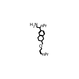 CCC/C=C\COCC1CCc2cc(C(CN)CCC)ccc2C1